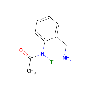 CC(=O)N(F)c1ccccc1CN